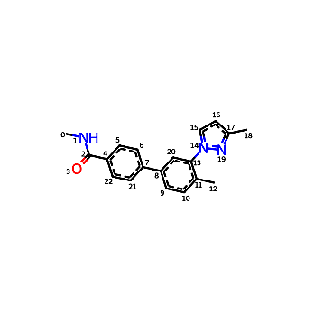 CNC(=O)c1ccc(-c2ccc(C)c(-n3ccc(C)n3)c2)cc1